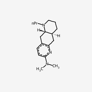 CCCN1CCC[C@H]2Cc3nc(N(C)C)ccc3C[C@@H]21